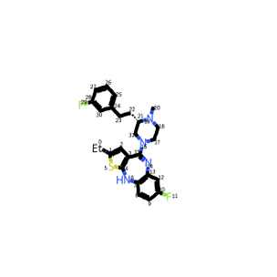 CCc1cc2c(s1)Nc1ccc(F)cc1N=C2N1CCN(C)[C@@H](CCc2cccc(F)c2)C1